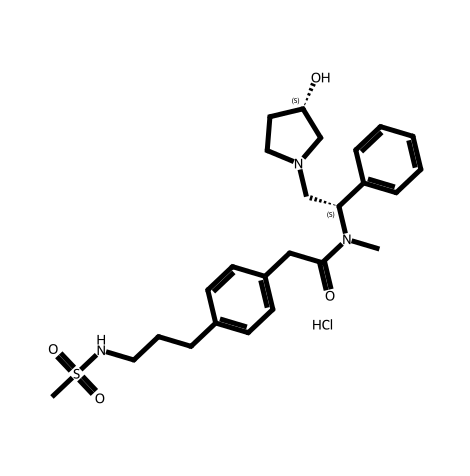 CN(C(=O)Cc1ccc(CCCNS(C)(=O)=O)cc1)[C@H](CN1CC[C@H](O)C1)c1ccccc1.Cl